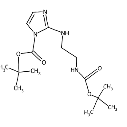 CC(C)(C)OC(=O)NCCNc1nccn1C(=O)OC(C)(C)C